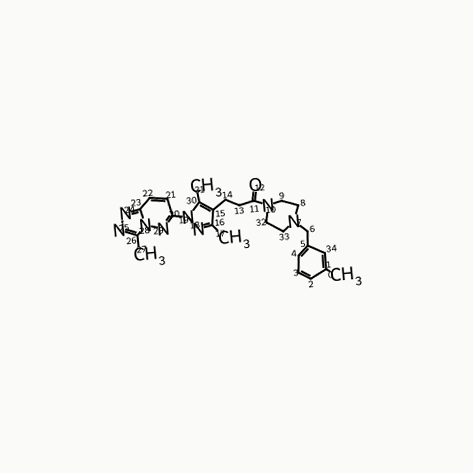 Cc1cccc(CN2CCN(C(=O)CCc3c(C)nn(-c4ccc5nnc(C)n5n4)c3C)CC2)c1